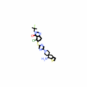 CC(C)(F)Cn1cnc2ccc(Sc3cnc(N4CCC5(CC4)Cc4ccsc4[C@H]5N)cn3)c(Cl)c2c1=O